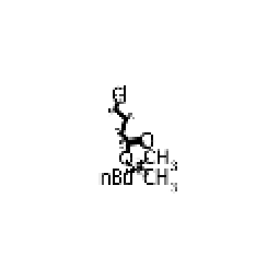 CCCC[Si](C)(C)OC(=O)CCCCl